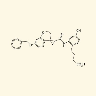 N#Cc1ccc(CCCC(=O)O)c(NC(=O)C2CC23CCOc2cc(OCc4ccccc4)ccc23)c1